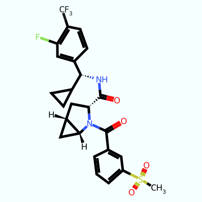 CS(=O)(=O)c1cccc(C(=O)N2[C@@H](C(=O)N[C@@H](c3ccc(C(F)(F)F)c(F)c3)C3CC3)C[C@H]3C[C@H]32)c1